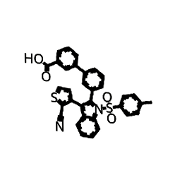 Cc1ccc(S(=O)(=O)n2c(-c3cccc(-c4cccc(C(=O)O)c4)c3)c(-c3ccsc3C#N)c3ccccc32)cc1